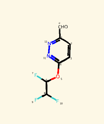 O=Cc1ccc(OC(F)C(F)F)nn1